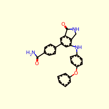 NC(=O)c1ccc(-c2cc(Nc3ccc(Oc4ccccc4)cc3)c3c(c2)C(=O)NC3)cc1